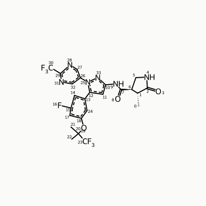 C[C@H]1C(=O)NC[C@@H]1C(=O)Nc1cc(-c2cc(F)cc(OC(C)(C)C(F)(F)F)c2)n(-c2cnc(C(F)(F)F)nc2)n1